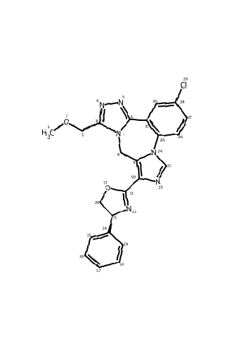 COCc1nnc2n1Cc1c(C3=N[C@@H](c4ccccc4)CO3)ncn1-c1ccc(Cl)cc1-2